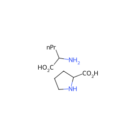 CCCC(N)C(=O)O.O=C(O)C1CCCN1